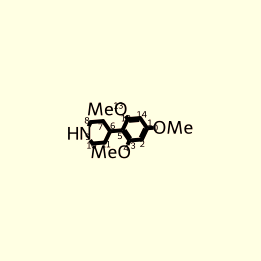 COc1cc(OC)c(C2CCNCC2)c(OC)c1